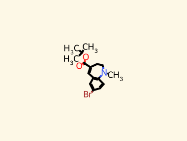 CN1CCC(C(=O)OC(C)(C)C)=Cc2cc(Br)ccc21